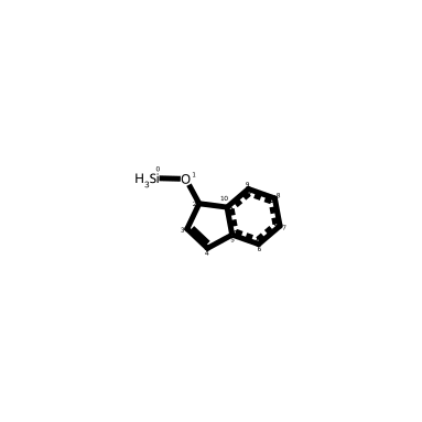 [SiH3]O[C]1C=Cc2ccccc21